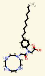 CCCCCCCCCCc1ccc(N(CC(=O)O)C(=O)CN2CCNCCNCCNCC2)cc1